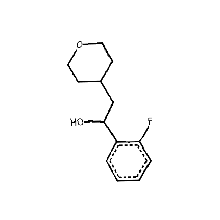 OC(CC1CCOCC1)c1ccccc1F